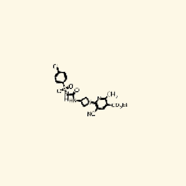 CCOC(=O)c1cc(C#N)c(N2CC(NC(=O)NS(=O)(=O)c3ccc(Cl)cc3)C2)nc1C